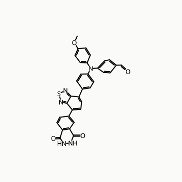 COc1ccc(N(c2ccc(C=O)cc2)c2ccc(-c3ccc(-c4ccc5c(=O)[nH][nH]c(=O)c5c4)c4nsnc34)cc2)cc1